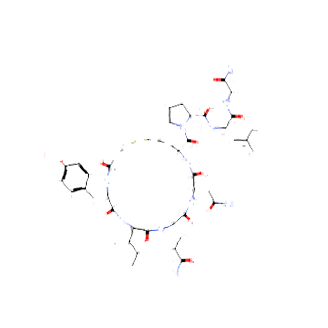 CC[C@H](C)C1NC(=O)[C@H](Cc2ccc(O)cc2)NC(=O)CCSCC[C@@H](C(=O)N2CCC[C@H]2C(=O)N[C@@H](CC(C)C)C(=O)NCC(N)=O)NC(=O)[C@H](CC(N)=O)NC(=O)[C@H](CCC(N)=O)NC1=O